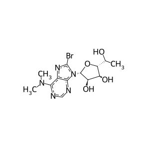 CC(O)[C@H]1O[C@@H](n2c(Br)nc3c(N(C)C)ncnc32)[C@H](O)[C@@H]1O